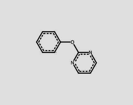 [c]1ccccc1Oc1ncccn1